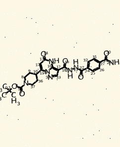 CC(C)(C)OC(=O)N1CCC(c2cc(=O)[nH]c3c(C(=O)NNC(=O)c4ccc(C(N)=O)cc4)cnn23)CC1